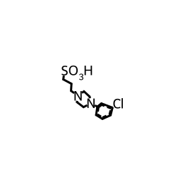 O=S(=O)(O)CCCN1CCN(c2cccc(Cl)c2)CC1